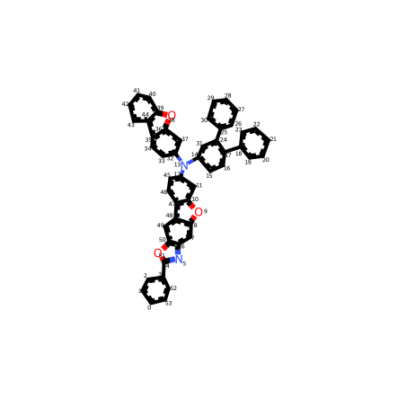 c1ccc(-c2nc3cc4oc5cc(N(c6ccc(-c7ccccc7)c(-c7ccccc7)c6)c6ccc7c(c6)oc6ccccc67)ccc5c4cc3o2)cc1